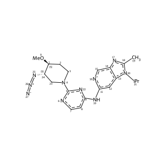 CO[C@H]1CCN(c2nccc(Nc3cc4c(cn3)nc(C)n4C(C)C)n2)C[C@@H]1N=[N+]=[N-]